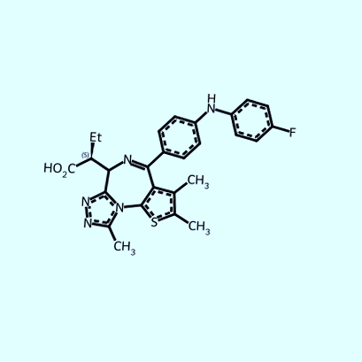 CC[C@H](C(=O)O)C1N=C(c2ccc(Nc3ccc(F)cc3)cc2)c2c(sc(C)c2C)-n2c(C)nnc21